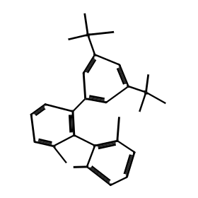 Cc1cccc2sc3cccc(-c4cc(C(C)(C)C)cc(C(C)(C)C)c4)c3c12